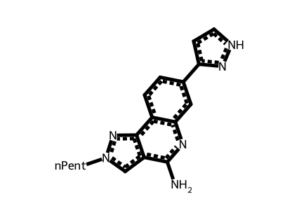 CCCCCn1cc2c(N)nc3cc(-c4cc[nH]n4)ccc3c2n1